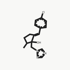 CC1CC/C(=C\c2ccc(Cl)cc2)C1(O)Cn1cncn1